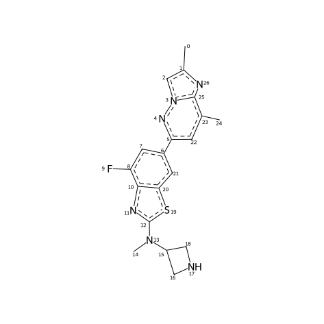 Cc1cn2nc(-c3cc(F)c4nc(N(C)C5CNC5)sc4c3)cc(C)c2n1